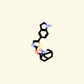 [O-][N+]12CC3CC(CC(C3)C1Oc1ncc(-c3ccc4c(c3)CCN4)s1)C2